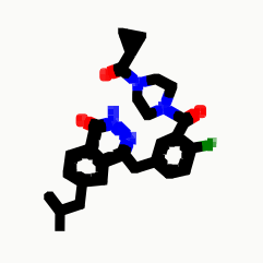 CC(C)Cc1ccc2c(=O)[nH]nc(Cc3ccc(F)c(C(=O)N4CCN(C(=O)C5CC5)CC4)c3)c2c1